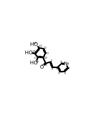 O=C(C=Cc1cccnc1)c1ccc(O)c(O)c1O